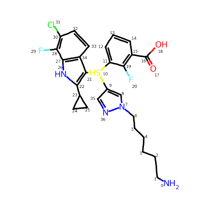 NCCCCCCn1cc([SH](c2cccc(C(=O)O)c2F)c2c(C3CC3)[nH]c3c(F)c(Cl)ccc23)cn1